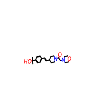 CC(C)(O)c1ccc(/C=C/C2CCN(C(=O)CN3CCOCC3)CC2)cc1